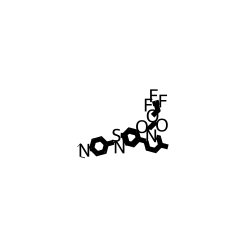 CC1CCC(c2ccc3sc(C4CCC(N(C)C)CC4)nc3c2)N(C(=O)C(=O)OCC(F)(F)F)C1